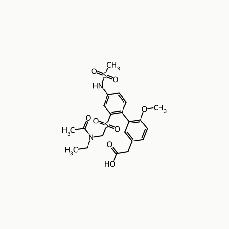 CCN(CS(=O)(=O)c1cc(NS(C)(=O)=O)ccc1-c1cc(CC(=O)O)ccc1OC)C(C)=O